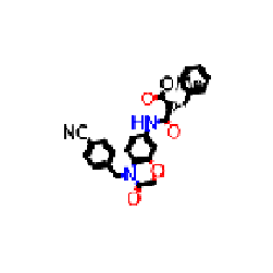 COC(=O)[C@H](Cc1ccccc1)C(=O)Nc1ccc2c(c1)OCC(=O)N2Cc1ccc(C#N)cc1